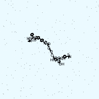 Cc1ncsc1-c1ccc(CNC(=O)[C@@H]2C[C@@H](O)CN2C(=O)[C@H](C)NC(=O)CCOCCOCCOCCC(=O)N2CCN(c3ccc(-c4ccc5c(c4)C(=O)N(C(C(=O)Nc4nccs4)c4ccccc4)C5)cc3)CC2)cc1